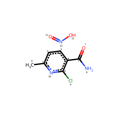 Cc1ccc(C(N)=O)c(Cl)n1.O=NO